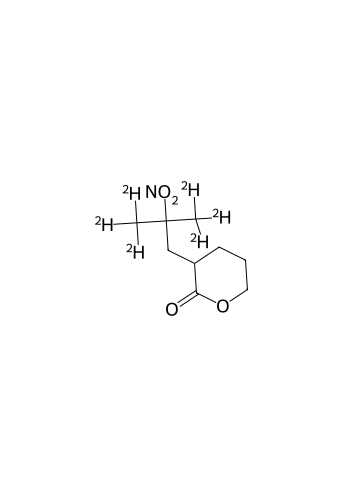 [2H]C([2H])([2H])C(CC1CCCOC1=O)([N+](=O)[O-])C([2H])([2H])[2H]